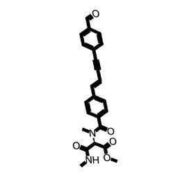 CNC(=O)[C@@H](C(=O)OC)N(C)C(=O)c1ccc(/C=C/C#Cc2ccc(C=O)cc2)cc1